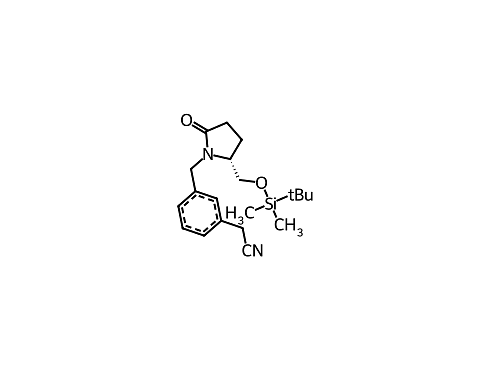 CC(C)(C)[Si](C)(C)OC[C@H]1CCC(=O)N1Cc1cccc(CC#N)c1